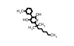 CCCCCCC(C)(C)c1cc(O)c(-c2cccc(C)c2)c(O)n1